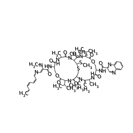 C=C\C=C/C=C\C=N/C=C(\N=C)C(=O)NC1COC(=O)C(C(C)C)N(C)C(=O)C2CSC(SC)C(C(=O)N(C)C(C(C)C)C(=O)OCC(NC(=O)c3cnc4ccccc4n3)C(=O)NC(C)C(=C)N2C)N(C)C(=O)C(C)NC1=O